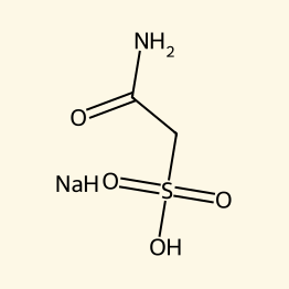 NC(=O)CS(=O)(=O)O.[NaH]